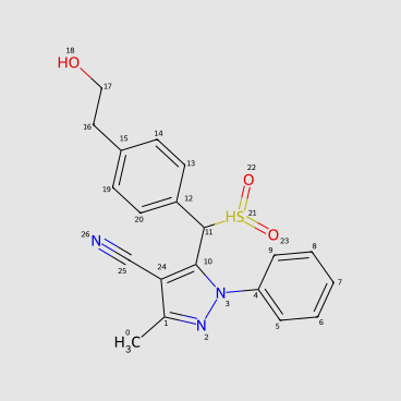 Cc1nn(-c2ccccc2)c(C(c2ccc(CCO)cc2)[SH](=O)=O)c1C#N